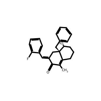 CC1=C2CCC[C@H](O)[C@@]2(Cc2ccccc2)CC(=Cc2ccccc2F)C1=O